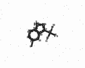 Cc1cnc2[nH]nc(C(F)(F)F)c2c1